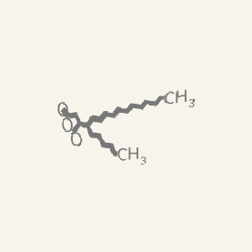 CCCCCCCCCCC=CC(CCCCCC)C1CC(=O)OC1=O